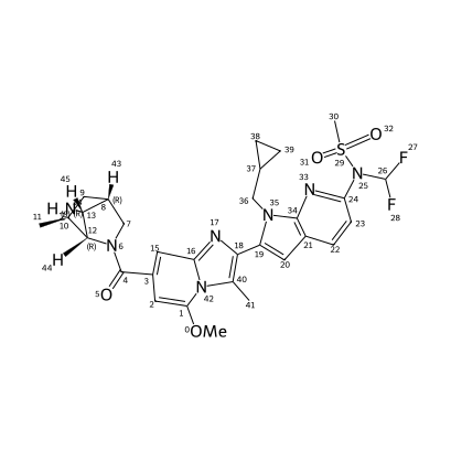 COc1cc(C(=O)N2C[C@H]3C[C@H](C)[C@@H]2[C@@H]3N)cc2nc(-c3cc4ccc(N(C(F)F)S(C)(=O)=O)nc4n3CC3CC3)c(C)n12